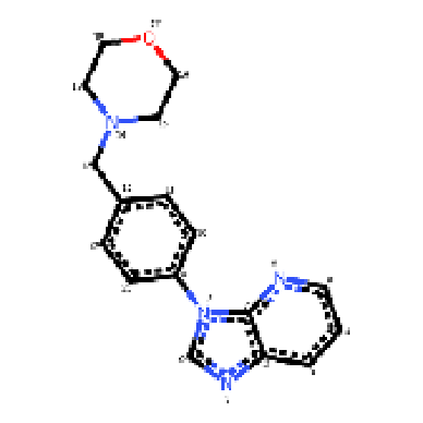 [c]1nc2cccnc2n1-c1ccc(CN2CCOCC2)cc1